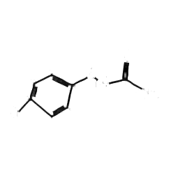 NC(=O)NSc1ccc(Cl)cc1